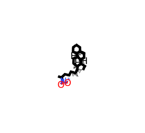 CC(CCC[C@@H](C)[C@H]1CC[C@H]2[C@@H]3CC=C4CCCC[C@]4(C)[C@H]3CC[C@]12C)[N+](=O)[O-]